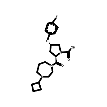 O=C([C@H]1C[C@H](Oc2ccc(F)cc2)CN1C(=O)O)N1CCCN(C2CCC2)CC1